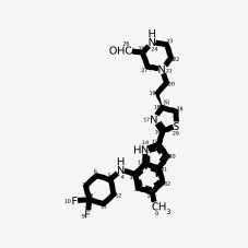 Cc1cc(NC2CCC(F)(F)CC2)c2[nH]c(C3=N[C@@H](CCN4CCNC(C=O)C4)CS3)cc2c1